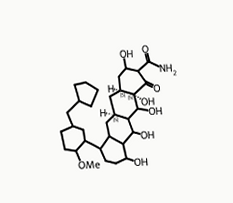 COC1CCC(CC2CCCC2)CC1C1CCC(O)C2C(O)C3C(O)[C@]4(O)C(=O)C(C(N)=O)C(O)C[C@@H]4C[C@@H]3CC12